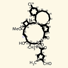 CO[C@H]1/C=C/[C@H](O)[C@H](C)C[S@@](=O)(NC(=O)c2cc(C=O)n(C)c2)=NC(=O)c2ccc3c(c2)N(Cc2ccc(Cl)cc2CCCCO3)C[C@@H]2CC[C@H]21